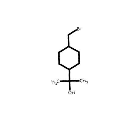 CC(C)(O)C1CCC(CBr)CC1